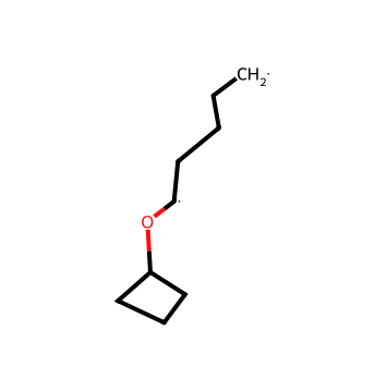 [CH2]CCC[CH]OC1CCC1